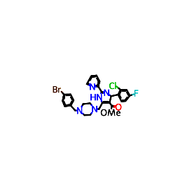 COC(=O)C1=C(CN2CCN(Cc3ccc(Br)cc3)CC2)NC(c2ccccn2)=NC1c1ccc(F)cc1Cl